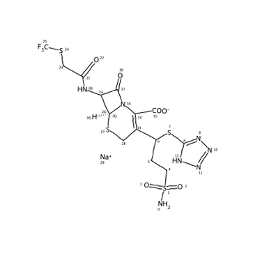 NS(=O)(=O)CCC(Sc1nnn[nH]1)C1=C(C(=O)[O-])N2C(=O)C(NC(=O)CSC(F)(F)F)[C@@H]2SC1.[Na+]